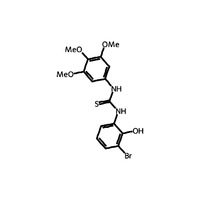 COc1cc(NC(=S)Nc2cccc(Br)c2O)cc(OC)c1OC